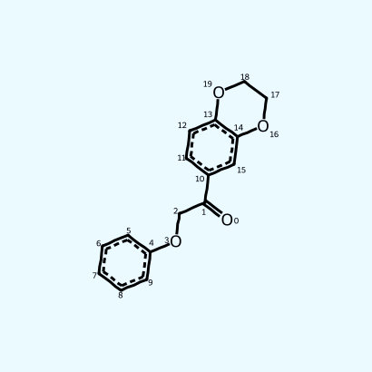 O=C(COc1ccccc1)c1ccc2c(c1)OCCO2